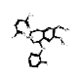 COc1cc2c(cc1OC)C(Oc1ccccc1Cl)CNCC2.O=C(O)/C=C\C(=O)O